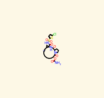 NC(=O)OC1CCCCC/C=C\C2CC2(C(=O)NS(=O)(=O)c2ccc(Cl)s2)NC(=O)C2CCCN2C1=O